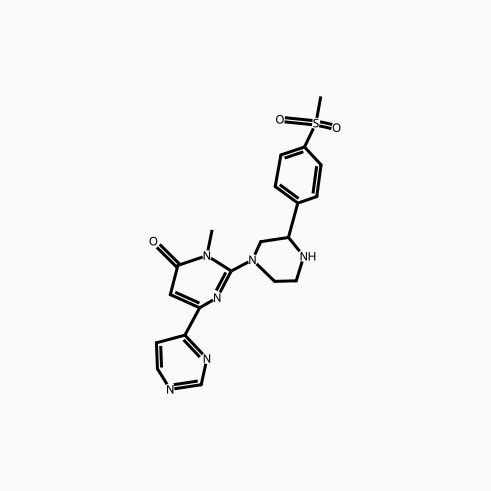 Cn1c(N2CCNC(c3ccc(S(C)(=O)=O)cc3)C2)nc(-c2ccncn2)cc1=O